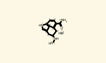 Br.CCCNC1Cc2c[nH]c3ccc(C(N)=O)c(c23)C1